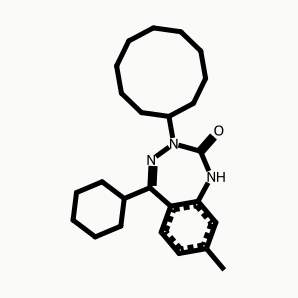 Cc1ccc2c(c1)NC(=O)N(C1CCCCCCCCC1)N=C2C1CCCCC1